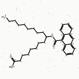 CCCCCCCCCC(CCCCCCCC(=O)O)OC(=O)c1c2ccccc2cc2ccccc12